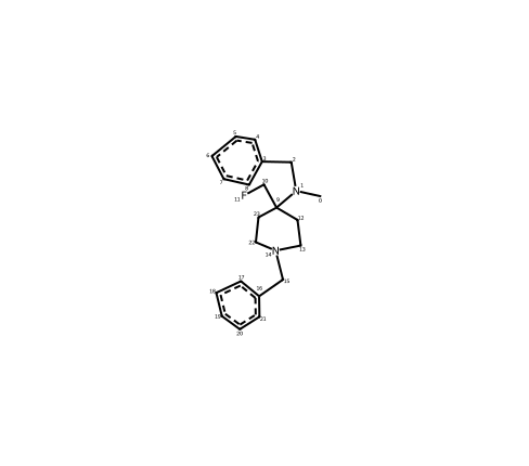 CN(Cc1ccccc1)C1(CF)CCN(Cc2ccccc2)CC1